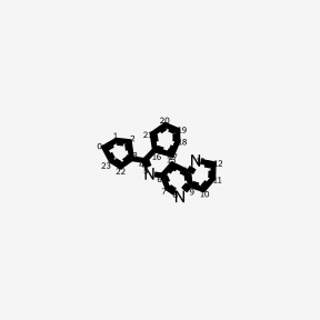 c1ccc(C(=Nc2cnc3cccnc3c2)c2ccccc2)cc1